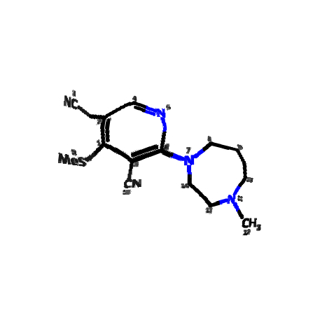 CSc1c(C#N)cnc(N2CCCN(C)CC2)c1C#N